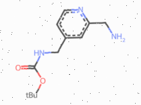 CC(C)(C)OC(=O)NCc1ccnc(CN)c1